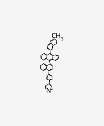 Cc1ccc2cc(-c3c4ccccc4c(-c4ccc(-c5ccc(-c6ccncc6)cc5)c5ccccc45)c4ccccc34)ccc2c1